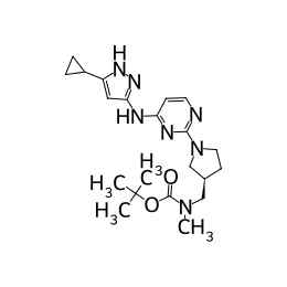 CN(C[C@@H]1CCN(c2nccc(Nc3cc(C4CC4)[nH]n3)n2)C1)C(=O)OC(C)(C)C